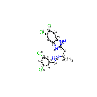 CC(Cc1nc2cc(Cl)c(Cl)cc2[nH]1)NCc1cc(Cl)cc(Cl)c1